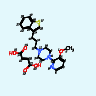 COc1cccnc1N1CCN(CCCc2csc3ccccc23)CC1.O=C(O)C=CC(=O)O